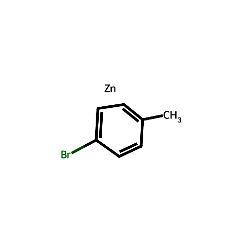 Cc1ccc(Br)cc1.[Zn]